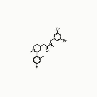 Cc1cc(F)ccc1C1CC(CC(=O)N(C)Cc2cc(Br)cc(Br)c2)CCN1C